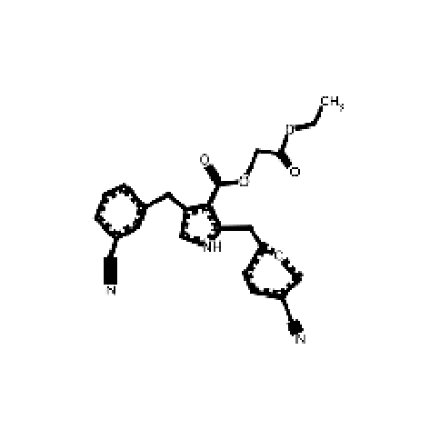 CCOC(=O)COC(=O)c1c(Cc2cccc(C#N)c2)c[nH]c1Cc1ccc(C#N)cc1